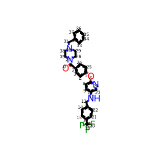 O=C(c1ccc(Oc2ccc(NCc3ccc(C(F)(F)F)cc3)cn2)cc1)N1CCN(Cc2ccccc2)CC1